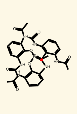 CC(=O)Nc1cccc(NC(C)=O)c1OB(Oc1c(NC(C)=O)cccc1NC(C)=O)Oc1c(NC(C)=O)cccc1NC(C)=O